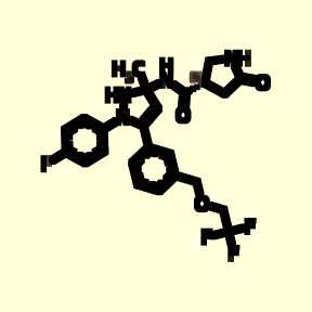 CC1(NC(=O)[C@@H]2CNC(=O)C2)C=C(c2cccc(COCC(F)(F)F)c2)N(c2ccc(F)cc2)N1